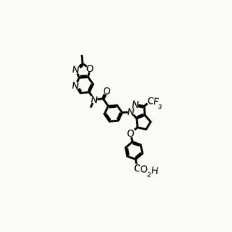 Cc1nc2ncc(N(C)C(=O)c3cccc(-n4nc(C(F)(F)F)c5c4C(Oc4ccc(C(=O)O)cc4)CC5)c3)cc2o1